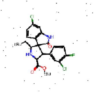 CC(C)(C)CC1NC(C(=O)OC(C)(C)C)C(c2ccc(F)c(Cl)c2)C12C(=O)Nc1cc(Cl)ccc12